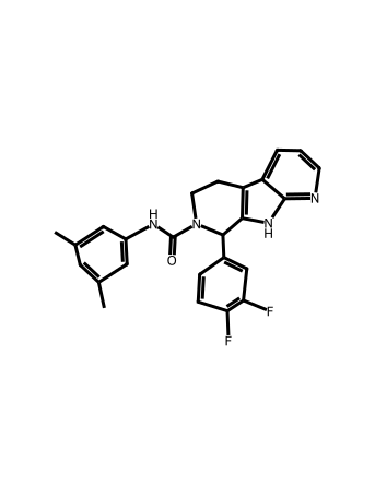 Cc1cc(C)cc(NC(=O)N2CCc3c([nH]c4ncccc34)C2c2ccc(F)c(F)c2)c1